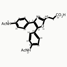 CC(=O)Nc1ccc(-c2nc(SCC(=O)O)oc2-c2ccc(NC(C)=O)cc2)cc1